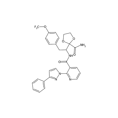 NC(=O)C1(C(Cc2ccc(OC(F)(F)F)cc2)NC(=O)c2cccnc2-n2ccc(-c3ccccc3)n2)OCCO1